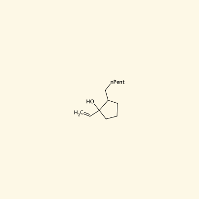 C=CC1(O)CCCC1CCCCCC